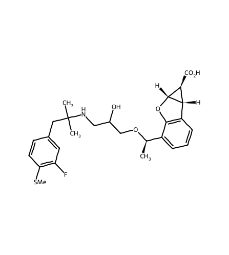 CSc1ccc(CC(C)(C)NCC(O)CO[C@H](C)c2cccc3c2O[C@@H]2[C@@H](C(=O)O)[C@H]32)cc1F